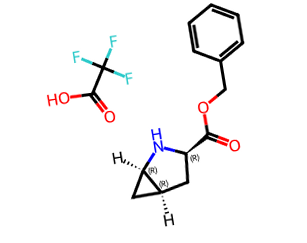 O=C(O)C(F)(F)F.O=C(OCc1ccccc1)[C@H]1C[C@H]2C[C@H]2N1